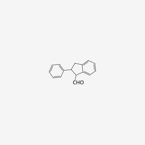 O=CC1c2ccccc2CC1c1ccccc1